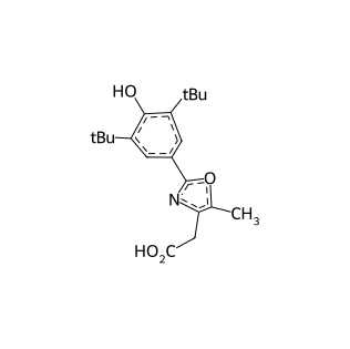 Cc1oc(-c2cc(C(C)(C)C)c(O)c(C(C)(C)C)c2)nc1CC(=O)O